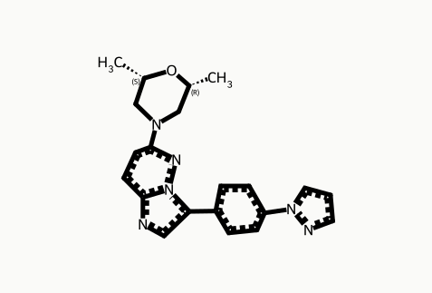 C[C@@H]1CN(c2ccc3ncc(-c4ccc(-n5cccn5)cc4)n3n2)C[C@H](C)O1